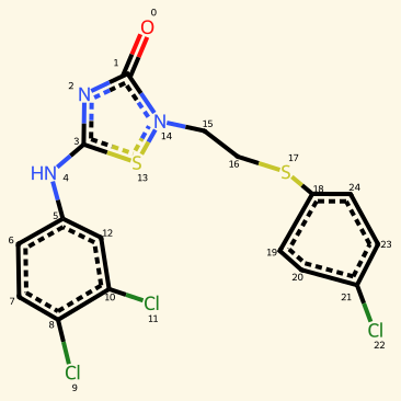 O=c1nc(Nc2ccc(Cl)c(Cl)c2)sn1CCSc1ccc(Cl)cc1